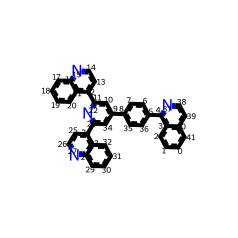 c1ccc2c(-c3ccc(-c4cc(-c5ccnc6ccccc56)nc(-c5ccnc6ccccc56)c4)cc3)nccc2c1